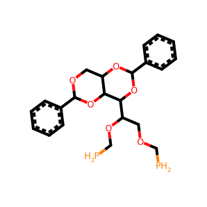 PCOCC(OCP)C1OC(c2ccccc2)OC2COC(c3ccccc3)OC21